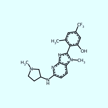 Cc1cc(C(F)(F)F)cc(O)c1-c1nc2nc(NC3CCN(C)C3)ccc2n1C